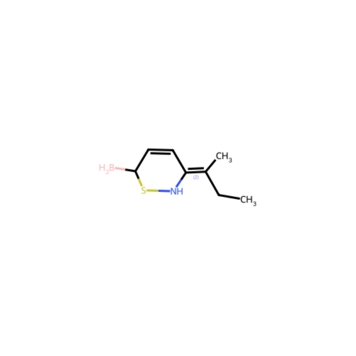 BC1C=C/C(=C(\C)CC)NS1